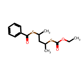 CCOC(=O)SC(C)CC(C)SC(=O)c1ccccc1